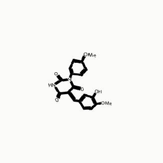 COc1ccc(N2C(=O)NC(=O)C(=Cc3ccc(OC)c(O)c3)C2=O)cc1